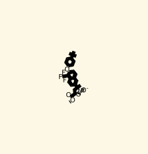 COC(=O)CCC(C)(c1ccc2c(C(F)(F)F)c(OC3CCC(C(C)(C)C)CC3)ccc2c1)[N+](=O)[O-]